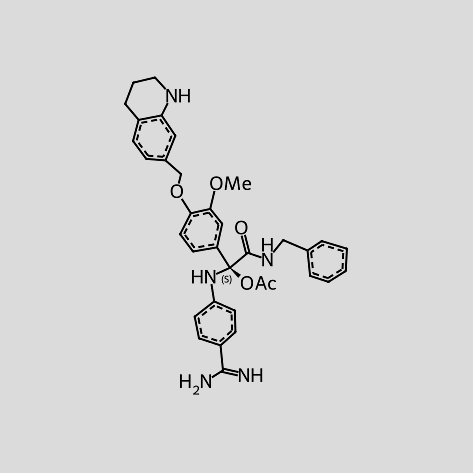 COc1cc([C@](Nc2ccc(C(=N)N)cc2)(OC(C)=O)C(=O)NCc2ccccc2)ccc1OCc1ccc2c(c1)NCCC2